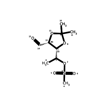 CC(OS(C)(=O)=O)[C@H]1OC(C)(C)O[C@H]1C=O